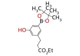 CCOC(=O)CCc1cc(O)cc(B2OC(C)(C)C(C)(C)O2)c1